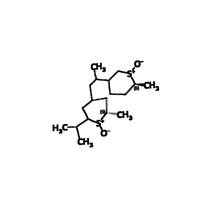 CC(C)C1CC(CC(C)C2CC[C@H](C)[S+]([O-])C2)C[C@H](C)[S+]1[O-]